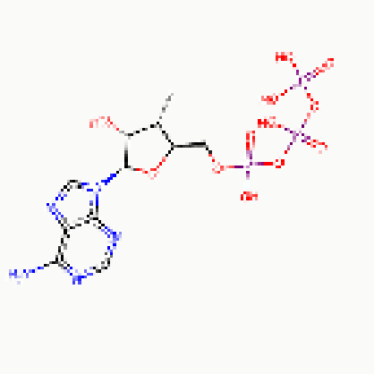 C[C@H]1[C@@H](O)[C@H](n2cnc3c(N)ncnc32)O[C@@H]1COP(=O)(O)OP(=O)(O)OP(=O)(O)O